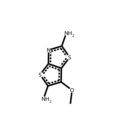 COc1c(N)sc2nc(N)sc12